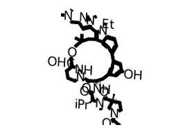 C=CC(=O)N1CC[C@@](C)(C(=O)N(C)[C@H](C(=O)N[C@H]2Cc3cc(O)cc(c3)-c3ccc4c(c3)c(c(-c3cc(CN(C)C)nn3C)n4CC)CC(C)(C)COCC3(C=O)CCCN(N3)C2=O)C(C)C)C1